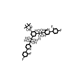 CC1(C)OB(c2cc(C(O)(O)C(O)(O)c3ccc(-c4ccc(F)cc4F)nc3)cc(C(O)(O)C(O)(O)c3ccc(-c4ccc(F)cc4F)nc3)c2)OC1(C)C